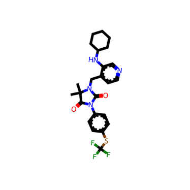 CC1(C)C(=O)N(c2ccc(SC(F)(F)F)cc2)C(=O)N1Cc1ccncc1NC1CCCCC1